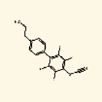 CCCc1ccc(-c2c(F)c(F)c(SC#N)c(F)c2F)cc1